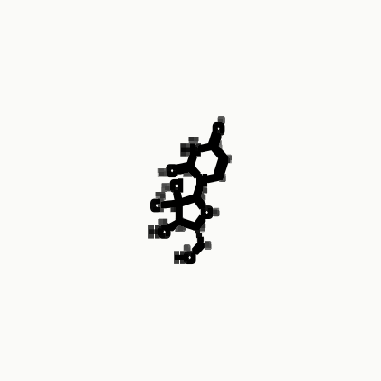 O=c1ccn(C2O[C@H](CO)[C@@H](O)C2(Cl)Cl)c(=O)[nH]1